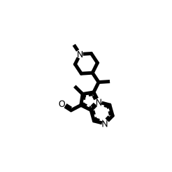 Cc1c(C=O)c2cnccn2c1C(C)C1CCN(C)CC1